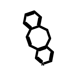 C1=C\c2cnccc2CCc2ccccc2/1